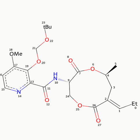 CC/C=C1\C[C@H](C)OC(=O)[C@@H](NC(=O)c2nccc(OC)c2OCOC(C)(C)C)COC1=O